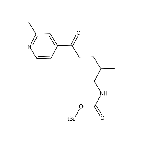 Cc1cc(C(=O)CCC(C)CNC(=O)OC(C)(C)C)ccn1